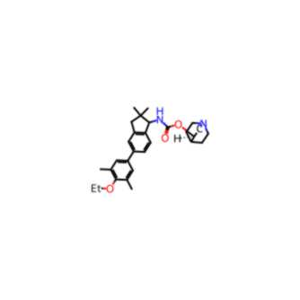 CCOc1c(C)cc(-c2ccc3c(c2)CC(C)(C)C3NC(=O)O[C@H]2CN3CCC2CC3)cc1C